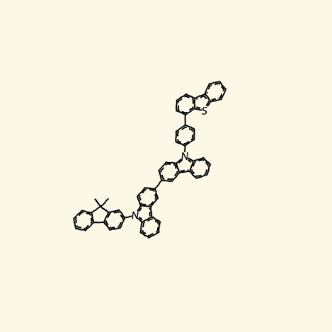 CC1(C)c2ccccc2-c2ccc(-n3c4ccccc4c4cc(-c5ccc6c(c5)c5ccccc5n6-c5ccc(-c6cccc7c6sc6ccccc67)cc5)ccc43)cc21